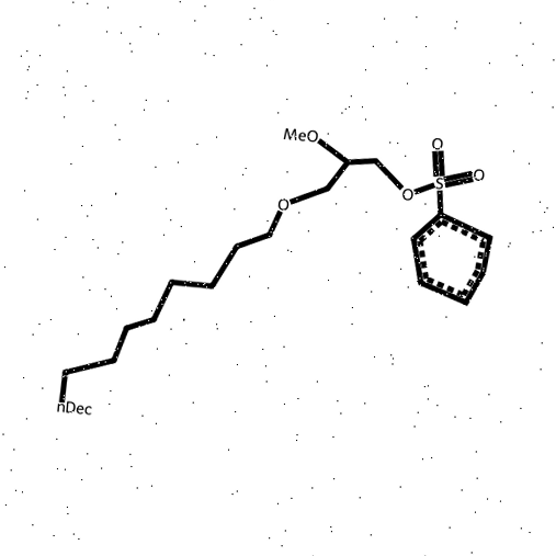 CCCCCCCCCCCCCCCCCCOCC(COS(=O)(=O)c1ccccc1)OC